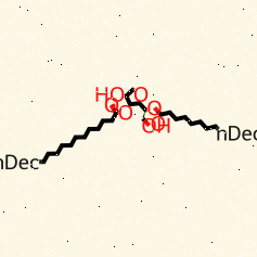 CCCCCCCCCCCCCCCCCCCCCC(=O)O[C@H]1[C@@H]([C@@H](CO)OC(=O)CCCCCCCCCCCCCCCCC)OC[C@@H]1O